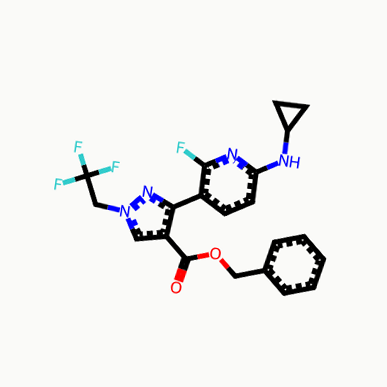 O=C(OCc1ccccc1)c1cn(CC(F)(F)F)nc1-c1ccc(NC2CC2)nc1F